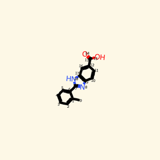 Cc1ccccc1-c1nc2ccc(C(=O)O)cc2[nH]1